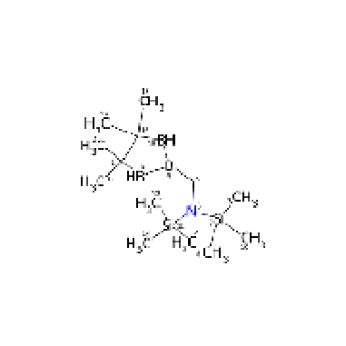 CC1(C)BB(CN([Si](C)(C)C)[Si](C)(C)C)BC1(C)C